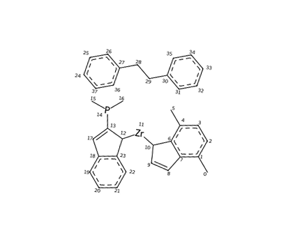 Cc1ccc(C)c2c1C=C[CH]2[Zr][CH]1C(P(C)C)=Cc2ccccc21.c1ccc(CCc2ccccc2)cc1